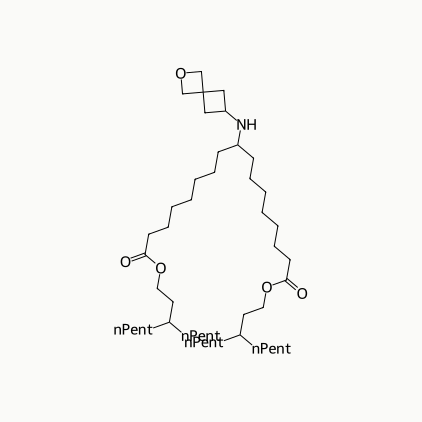 CCCCCC(CCCCC)CCOC(=O)CCCCCCCC(CCCCCCCC(=O)OCCC(CCCCC)CCCCC)NC1CC2(COC2)C1